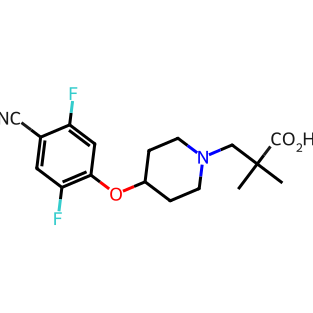 CC(C)(CN1CCC(Oc2cc(F)c(C#N)cc2F)CC1)C(=O)O